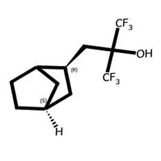 OC(C[C@H]1C[C@H]2CCC1C2)(C(F)(F)F)C(F)(F)F